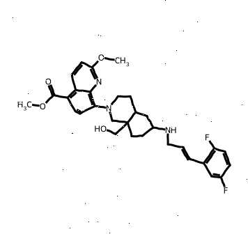 COC(=O)c1ccc(N2CCC3CC(NC/C=C/c4cc(F)ccc4F)CCC3(CO)C2)c2nc(OC)ccc12